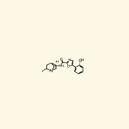 CC1CC2CCN1C[C@@H]2NC(=O)c1ncc(-c2ccccc2O)o1